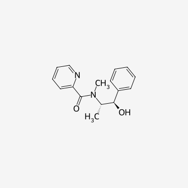 C[C@@H]([C@H](O)c1ccccc1)N(C)C(=O)c1ccccn1